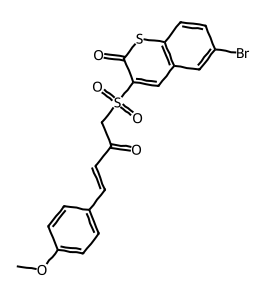 COc1ccc(C=CC(=O)CS(=O)(=O)c2cc3cc(Br)ccc3sc2=O)cc1